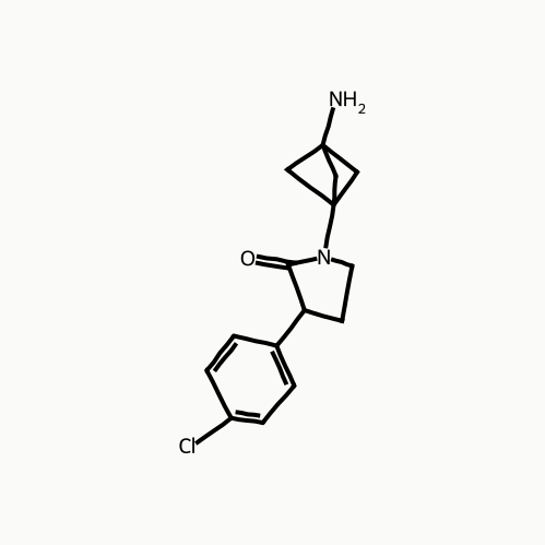 NC12CC(N3CCC(c4ccc(Cl)cc4)C3=O)(C1)C2